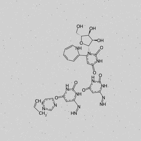 N=Nc1cc(=O)[nH]c(=O)[nH]1.N=Nc1cc(=O)[nH]c(=O)[nH]1.O=c1cc(C2=CC=CC=CN2)n([C@@H]2O[C@H](CO)[C@@H](O)[C@H]2O)c(=O)[nH]1.[CH2]C=C.c1cncnc1